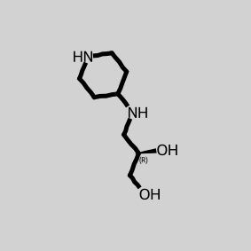 OC[C@H](O)CNC1CCNCC1